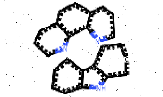 c1ccc2c(c1)[nH]c1ccccc12.c1cnc2c(c1)ccc1cccnc12